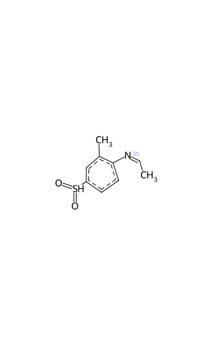 C/C=N\c1ccc([SH](=O)=O)cc1C